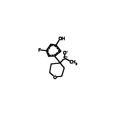 C[S+]([O-])C1(c2cc(O)cc(F)c2)CCOCC1